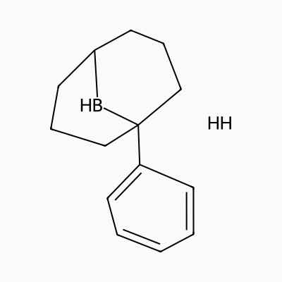 B1C2CCCC1(c1ccccc1)CCC2.[HH]